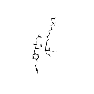 CC#CCOc1ccc(C[C@H](NC(=O)[C@@H](/C=C/CCCCCCC2(CCCCCCC)OCCO2)[C@@](O)(CCO)C(=O)OC(C)(C)C)C(=O)NCC(=O)OC)cc1